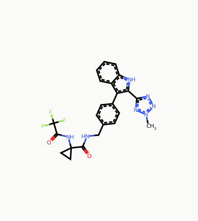 Cn1nnc(-c2[nH]c3ccccc3c2-c2ccc(CNC(=O)C3(NC(=O)C(F)(F)F)CC3)cc2)n1